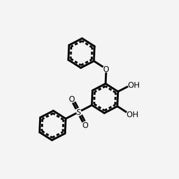 O=S(=O)(c1ccccc1)c1cc(O)c(O)c(Oc2ccccc2)c1